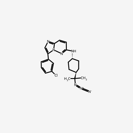 CC(C)(N=[N+]=[N-])[C@H]1CC[C@H](Nc2ccc3ncc(-c4cccc(Cl)c4)n3n2)CC1